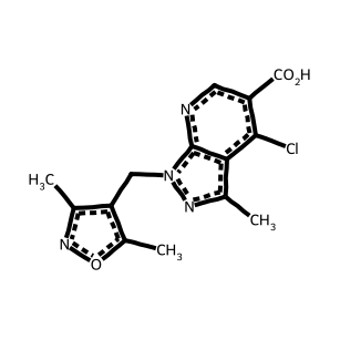 Cc1noc(C)c1Cn1nc(C)c2c(Cl)c(C(=O)O)cnc21